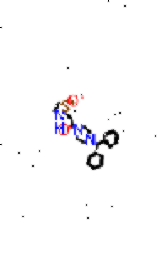 O=C(CC1NCC[S+]1[O-])N1CCN(C(c2ccccc2)c2ccccc2)CC1